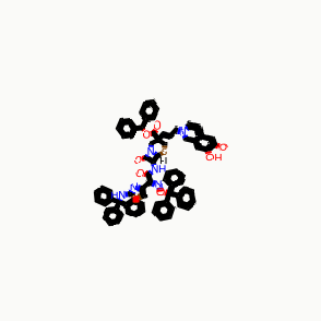 O=C(NC1C(=O)N2CC(C=CCn3ccc4cc(=O)c(O)cc-4c3)(C(=O)OC(c3ccccc3)c3ccccc3)CS[C@H]12)C(=NOC(c1ccccc1)(c1ccccc1)c1ccccc1)c1csc(NC(c2ccccc2)(c2ccccc2)c2ccccc2)n1